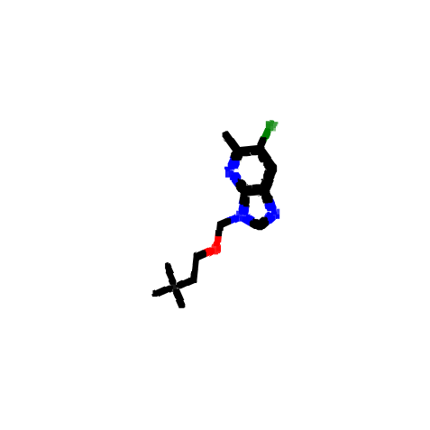 Cc1nc2c(cc1Br)ncn2COCC[Si](C)(C)C